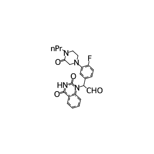 CCCN1CCN(c2cc(C(C=O)n3c(=O)[nH]c(=O)c4ccccc43)ccc2F)CC1=O